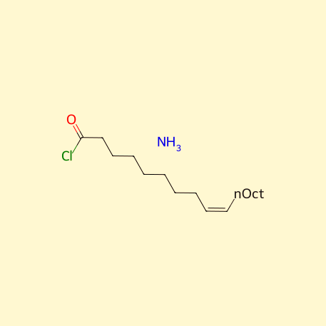 CCCCCCCC/C=C\CCCCCCCC(=O)Cl.N